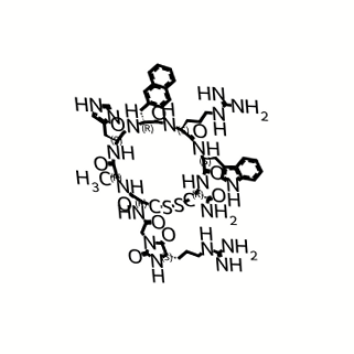 C[C@H]1NC(=O)[C@@H](NC(=O)CN2C(=O)N[C@@H](CCCNC(=N)N)C2=O)CSSC[C@@H](C(N)=O)NC(=O)[C@H](Cc2c[nH]c3ccccc23)NC(=O)[C@H](CCCNC(=N)N)NC(=O)[C@@H](Cc2ccc3ccccc3c2)NC(=O)[C@H](Cc2c[nH]cn2)NC1=O